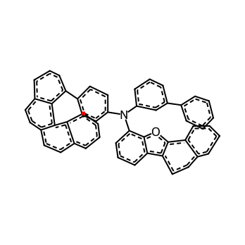 c1ccc(-c2cccc(N(c3ccc(-c4cccc5ccc6ccc7ccccc7c6c45)cc3)c3cccc4c3oc3c5ccccc5ccc43)c2)cc1